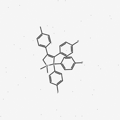 Cc1ccc(C2=C(c3ccc(F)cc3)[B-](c3ccc(F)cc3)(c3ccc(F)cc3)[N+](C)(C)C2)cc1